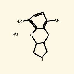 Cc1ccc(C)c2c1OC1CNCC1O2.Cl